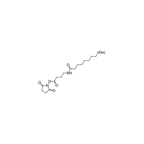 CCCCCCCCCCCCCCCCCC(=O)NCCCC(=O)ON1C(=O)CCC1=O